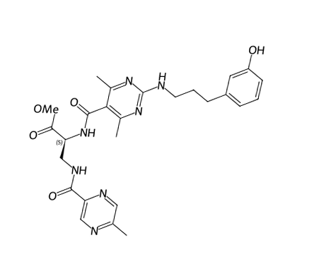 COC(=O)[C@H](CNC(=O)c1cnc(C)cn1)NC(=O)c1c(C)nc(NCCCc2cccc(O)c2)nc1C